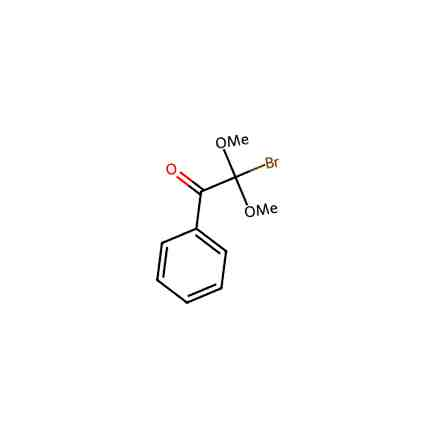 COC(Br)(OC)C(=O)c1ccccc1